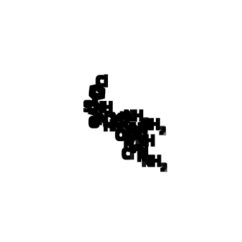 NN=NC1=C(Cl)N=C(C(=O)NC2NC3(CCN(C(=O)C4=CSC(c5ccc(Cl)cc5)N4)CC3)CN2N)C(N=NN)N1